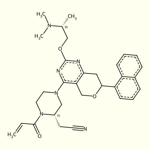 C=CC(=O)N1CCN(c2nc(OC[C@@H](C)N(C)C)nc3c2COC(c2cccc4ccccc24)C3)C[C@@H]1CC#N